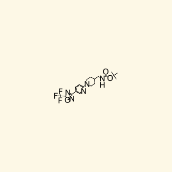 CC(C)(C)OC(=O)NCC1CCN(c2ccc(-c3noc(C(F)(F)F)n3)cn2)CC1